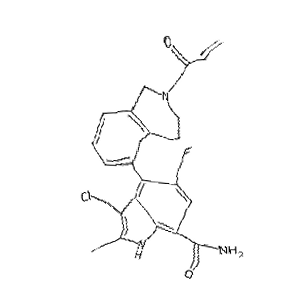 C=CC(=O)N1CCc2c(cccc2-c2c(F)cc(C(N)=O)c3[nH]c(C)c(Cl)c23)C1